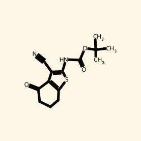 CC(C)(C)OC(=O)Nc1sc2c(c1C#N)C(=O)CCC2